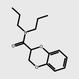 CCCN(CCC)C(=O)C1COc2ccccc2O1